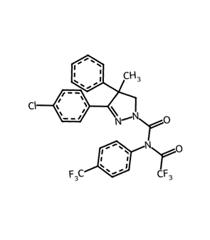 CC1(c2ccccc2)CN(C(=O)N(C(=O)C(F)(F)F)c2ccc(C(F)(F)F)cc2)N=C1c1ccc(Cl)cc1